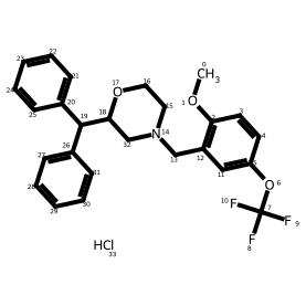 COc1ccc(OC(F)(F)F)cc1CN1CCOC(C(c2ccccc2)c2ccccc2)C1.Cl